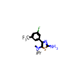 CC(C)N(C)c1sc(N)nc1-c1cc(F)cc(C(F)(F)F)c1